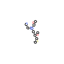 c1cncc(-c2cccc(-c3nc(-c4ccc(-c5ccc(-c6ccc7sc8ccccc8c7c6)c6oc7ccccc7c56)cc4)nc(-c4ccc5c(c4)oc4ccccc45)n3)c2)c1